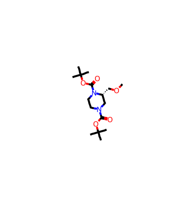 COC[C@@H]1CN(C(=O)OC(C)(C)C)CCN1C(=O)OC(C)(C)C